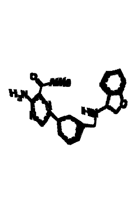 CNC(=O)c1nc(-c2cccc(CNC3COc4ccccc43)c2)cnc1N